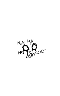 Nc1ccc(C(=O)[O-])c(O)c1.Nc1ccc(C(=O)[O-])c(O)c1.[Zn+2]